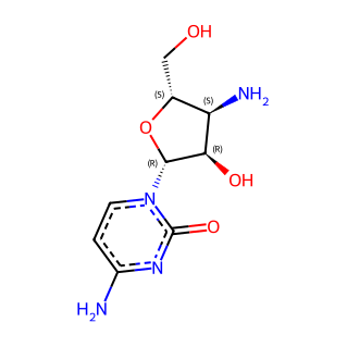 Nc1ccn([C@@H]2O[C@H](CO)[C@@H](N)[C@H]2O)c(=O)n1